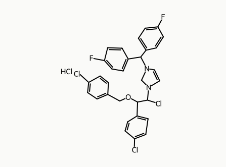 Cl.Fc1ccc(C(c2ccc(F)cc2)N2C=CN(C(Cl)C(OCc3ccc(Cl)cc3)c3ccc(Cl)cc3)C2)cc1